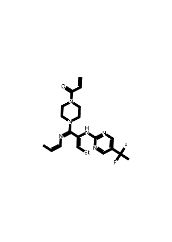 C=CC(=O)N1CCN(C(=N/C=C\C)/C(=C/CC)Nc2ncc(C(C)(F)F)cn2)CC1